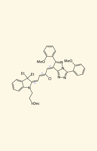 CCCCCCCCCCCCN1/C(=C/C=C(Cl)/C=c2/c(-c3ccccc3OC)nn3c(-c4ccccc4OC)nnc23)C(CC)(CC)c2ccccc21